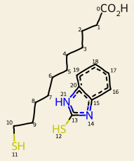 O=C(O)CCCCCCCCCCS.Sc1nc2ccccc2[nH]1